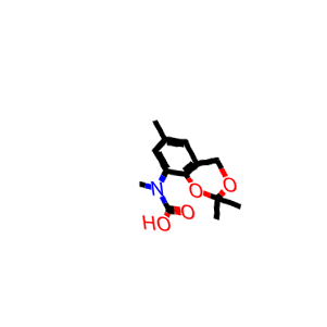 Cc1cc2c(c(N(C)C(=O)O)c1)OC(C)(C)OC2